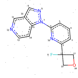 FC1(c2cccc(-n3ncc4cnccc43)n2)COC1